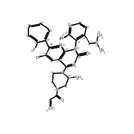 C=CC(=O)N1CCN(c2nc(=O)n(-c3c(CN(C)C)ccnc3C(C)C)c3nc(-c4ccccc4F)c(Cl)cc23)[C@@H](C)C1